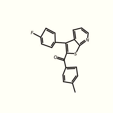 Cc1ccc(C(=O)c2sc3ncccc3c2-c2ccc(F)cc2)cc1